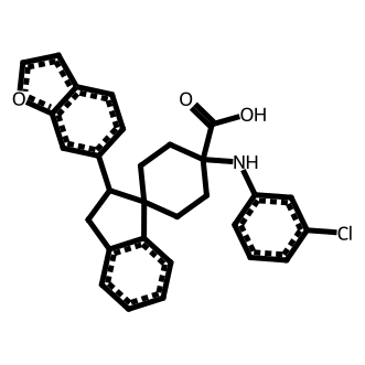 O=C(O)C1(Nc2cccc(Cl)c2)CCC2(CC1)c1ccccc1CC2c1ccc2ccoc2c1